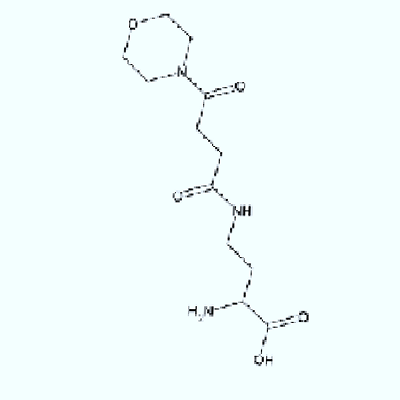 NC(CCNC(=O)CCC(=O)N1CCOCC1)C(=O)O